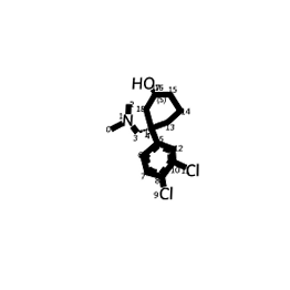 CN(C)C[C@@]1(c2ccc(Cl)c(Cl)c2)CCC[C@H](O)C1